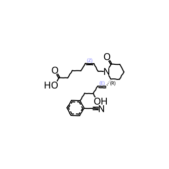 N#Cc1ccccc1CC(O)/C=C/[C@H]1CCCC(=O)N1C/C=C\CCCC(=O)O